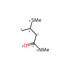 CNC(=O)CC(C)SC